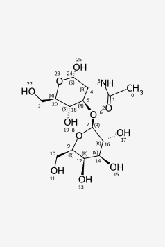 CC(=O)N[C@@H]1[C@@H](O[C@@H]2O[C@H](CO)[C@H](O)[C@H](O)[C@H]2O)[C@H](O)[C@@H](CO)O[C@@H]1O